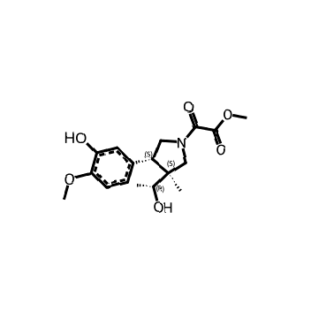 COC(=O)C(=O)N1C[C@@H](c2ccc(OC)c(O)c2)[C@](C)([C@@H](C)O)C1